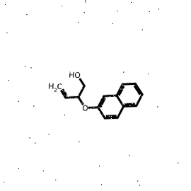 C=CC(CO)Oc1ccc2ccccc2c1